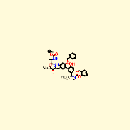 COC(=O)C(Cc1ccc(OCc2ccccc2)c(-c2cc(C(C(=O)O)N(C)C(=O)OCc3ccccc3)ccc2O)c1)NC(=O)C(C)NC(=O)OC(C)(C)C